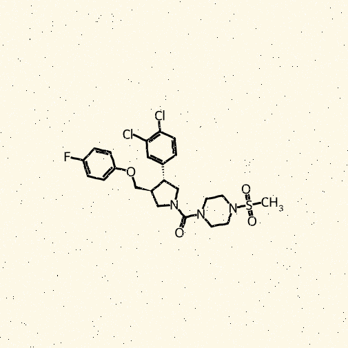 CS(=O)(=O)N1CCN(C(=O)N2C[C@@H](COc3ccc(F)cc3)[C@H](c3ccc(Cl)c(Cl)c3)C2)CC1